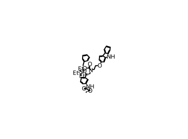 CC[Si](CC)(CC)O[C@@H](CN(CCOc1ccc2c(c1)[nH]c1ccccc12)C(=O)OCc1ccccc1)c1cccc(NS(C)(=O)=O)c1